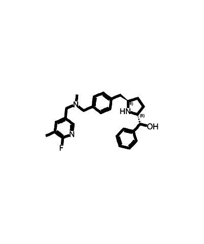 Cc1cc(CN(C)Cc2ccc(C[C@H]3CC[C@H](C(O)c4ccccc4)N3)cc2)cnc1F